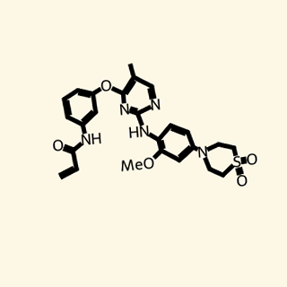 C=CC(=O)Nc1cccc(Oc2nc(Nc3ccc(N4CCS(=O)(=O)CC4)cc3OC)ncc2C)c1